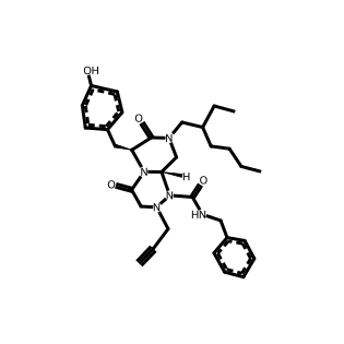 C#CCN1CC(=O)N2[C@@H](Cc3ccc(O)cc3)C(=O)N(CC(CC)CCCC)C[C@@H]2N1C(=O)NCc1ccccc1